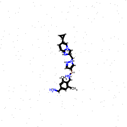 Cc1cc(CN)cc(C)c1CNSc1cnn(Cc2cn3cc(C4CC4)ccc3n2)c1